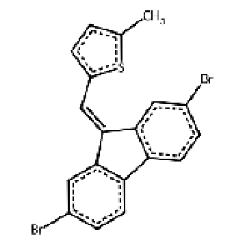 Cc1ccc(C=C2c3cc(Br)ccc3-c3ccc(Br)cc32)s1